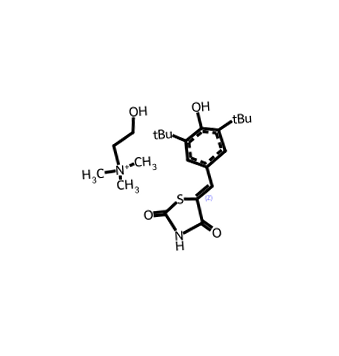 CC(C)(C)c1cc(/C=C2\SC(=O)NC2=O)cc(C(C)(C)C)c1O.C[N+](C)(C)CCO